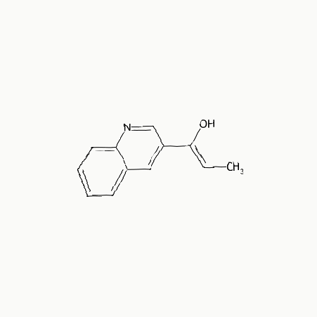 CC=C(O)c1cnc2ccccc2c1